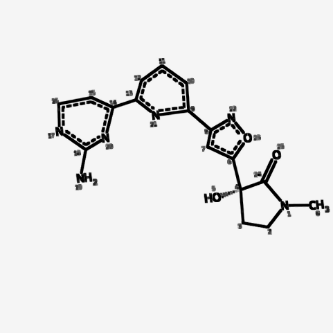 CN1CC[C@@](O)(c2cc(-c3cccc(-c4ccnc(N)n4)n3)no2)C1=O